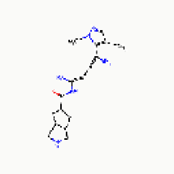 Cc1cnn(C)c1/C(N)=C/C=C(\N)NC(=O)C1CC2CNCC2C1